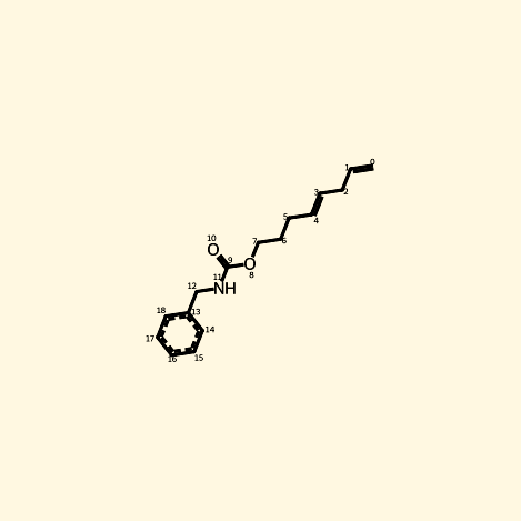 C=CCC=CCCCOC(=O)NCc1ccccc1